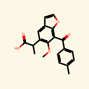 COc1c(C(C)C(=O)O)cc2ccoc2c1C(=O)c1ccc(C)cc1